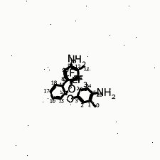 Cc1cc(OC2(Oc3ccc(N)c(C)c3)C=CC=CC2C(C(F)(F)F)C(F)(F)F)ccc1N